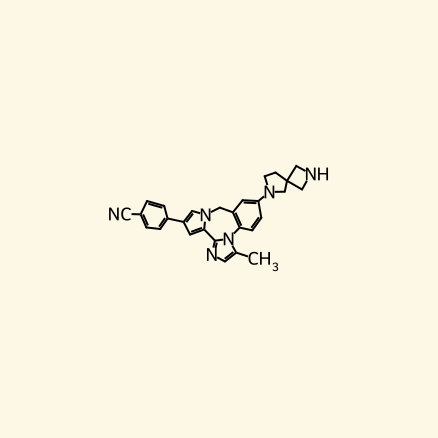 Cc1cnc2n1-c1ccc(N3CCC4(CNC4)C3)cc1Cn1cc(-c3ccc(C#N)cc3)cc1-2